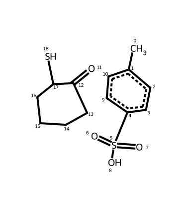 Cc1ccc(S(=O)(=O)O)cc1.O=C1CCCCC1S